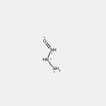 O=[SiH]N[SiH3]